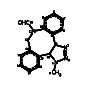 CN1N=NC2c3ccccc3N(C=O)Cc3ccccc3C21